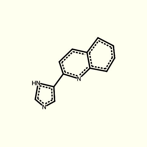 c1ccc2nc(-c3cnc[nH]3)ccc2c1